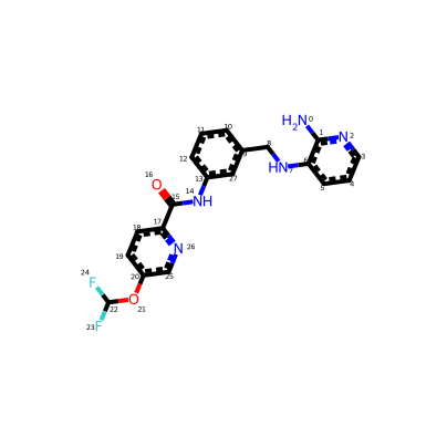 Nc1ncccc1NCc1cccc(NC(=O)c2ccc(OC(F)F)cn2)c1